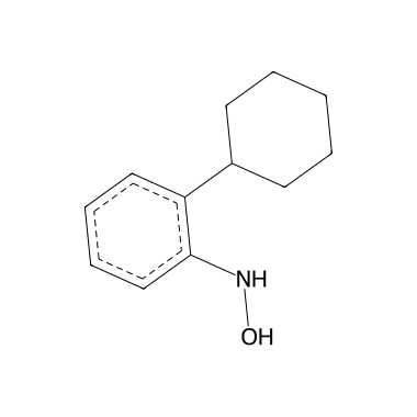 ONc1ccccc1C1CCCCC1